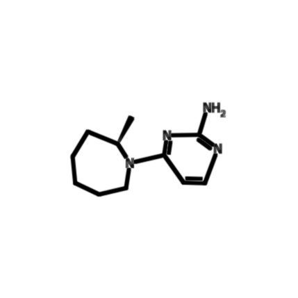 C[C@@H]1CCCCCN1c1ccnc(N)n1